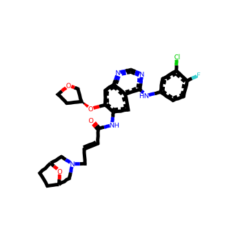 O=C(C=CCN1CC2CCC(C1)O2)Nc1cc2c(Nc3ccc(F)c(Cl)c3)ncnc2cc1O[C@H]1CCOC1